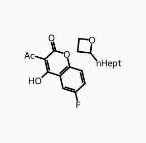 CC(=O)c1c(O)c2cc(F)ccc2oc1=O.CCCCCCCC1CCO1